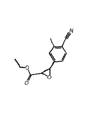 CCOC(=O)C1OC1c1ccc(C#N)c(C)c1